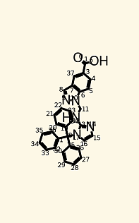 O=C(O)c1ccc2c(cnn2CNc2nccn2C(c2ccccc2)(c2ccccc2)c2ccccc2)c1